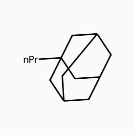 [CH2]CCC12CC3CC(CC(C3)C1)C2